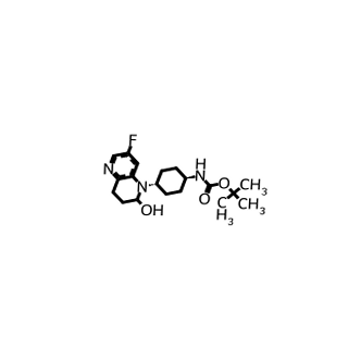 CC(C)(C)OC(=O)N[C@H]1CC[C@H](N2c3cc(F)cnc3CCC2O)CC1